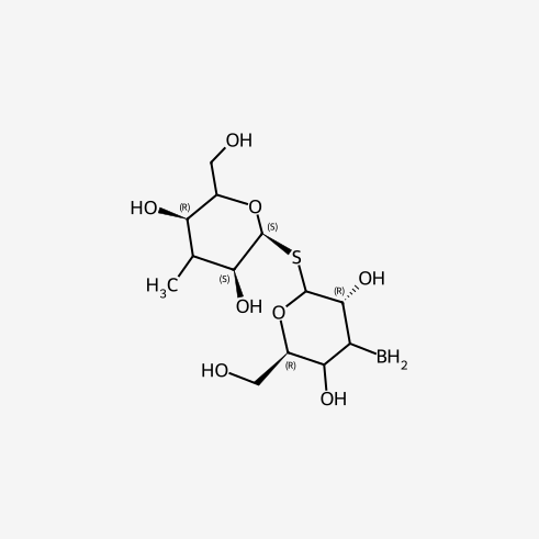 BC1C(O)[C@@H](CO)OC(S[C@@H]2OC(CO)[C@H](O)C(C)[C@@H]2O)[C@@H]1O